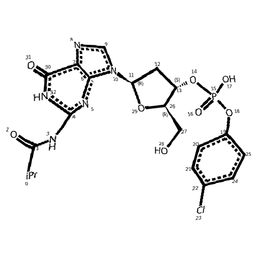 CC(C)C(=O)Nc1nc2c(ncn2[C@H]2C[C@H](OP(=O)(O)Oc3ccc(Cl)cc3)[C@@H](CO)O2)c(=O)[nH]1